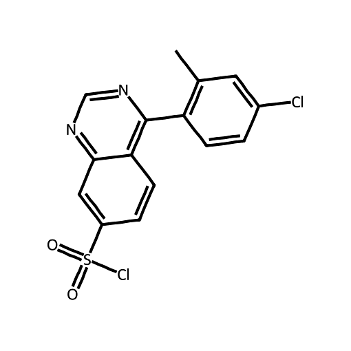 Cc1cc(Cl)ccc1-c1ncnc2cc(S(=O)(=O)Cl)ccc12